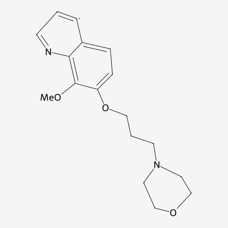 COc1c(OCCCN2CCOCC2)ccc2[c]ccnc12